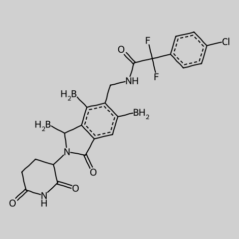 Bc1cc2c(c(B)c1CNC(=O)C(F)(F)c1ccc(Cl)cc1)C(B)N(C1CCC(=O)NC1=O)C2=O